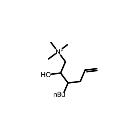 C=CCC(CCCC)C(O)C[N+](C)(C)C